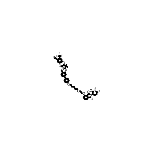 CC1(C)CN(Cc2ccc(-c3ccc(OCCCCCOCCOc4cccc5c4C(=O)N(C4CCC(=O)NC4=O)C5=O)cc3)cc2F)C(=O)C1Oc1ccc(C#N)c(C(F)(F)F)c1